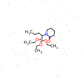 CCCC(N1CCCCC1=O)[Si](OCC)(OCC)OCC